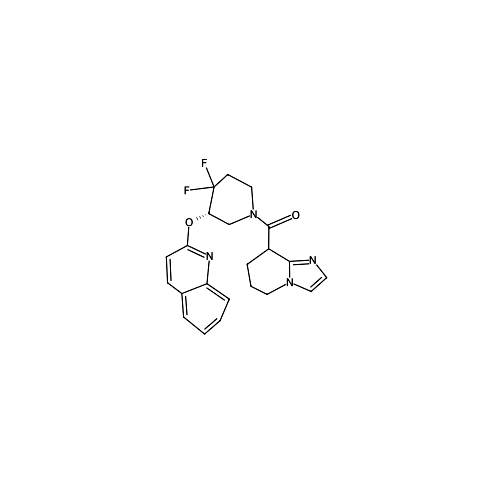 O=C(C1CCCn2ccnc21)N1CCC(F)(F)[C@@H](Oc2ccc3ccccc3n2)C1